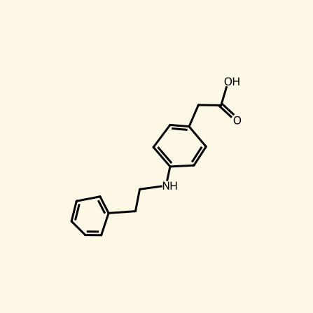 O=C(O)Cc1ccc(NCCc2ccccc2)cc1